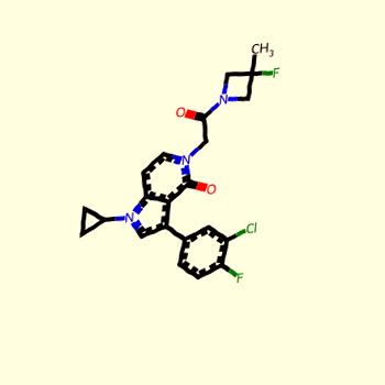 CC1(F)CN(C(=O)Cn2ccc3c(c(-c4ccc(F)c(Cl)c4)cn3C3CC3)c2=O)C1